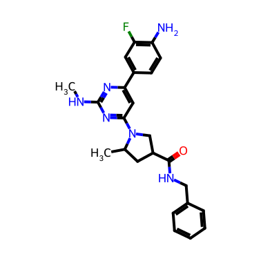 CNc1nc(-c2ccc(N)c(F)c2)cc(N2CC(C(=O)NCc3ccccc3)CC2C)n1